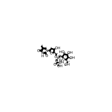 Cc1cn([C@H]2CC(O)[C@@H](COP(=O)(O[C@@H]3O[C@H](CO)[C@@H](O)[C@H](O)[C@H]3O)OP(=O)(O)O)O2)c(=O)[nH]c1=O